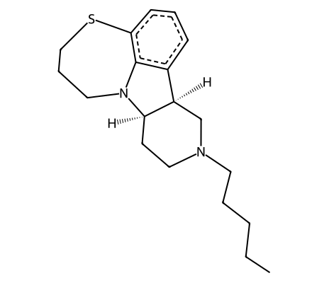 CCCCCN1CC[C@@H]2[C@H](C1)c1cccc3c1N2CCCS3